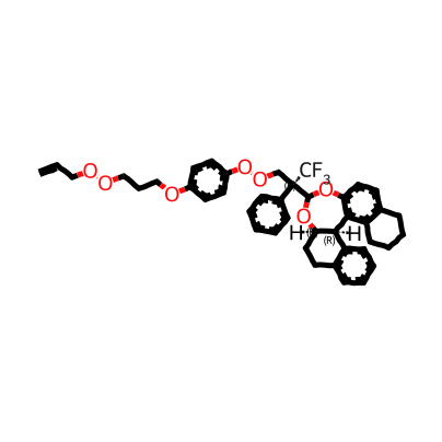 C=CCOOCCCOc1ccc(OOC[C@](c2ccccc2)(C2Oc3ccc4c(c3[C@H]3c5ccccc5CC[C@H]3O2)CCCC4)C(F)(F)F)cc1